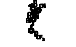 N#Cc1ccc(-n2nc3c(c2C(=O)NCC2(CO)CC2)C(=O)NC(CCc2cccc(OCC(F)(F)F)c2)C3)nc1